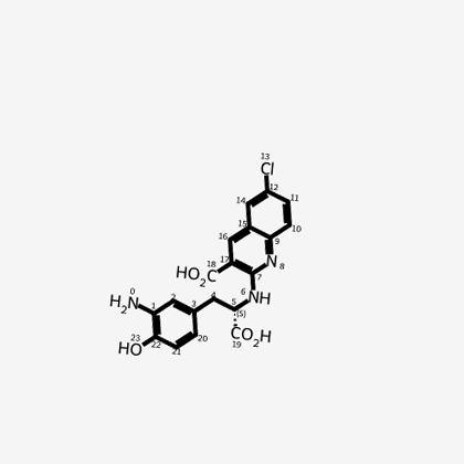 Nc1cc(C[C@H](Nc2nc3ccc(Cl)cc3cc2C(=O)O)C(=O)O)ccc1O